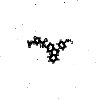 N[C@H]1CC[C@H](C(=O)C2CCC(NC(=O)c3cc(C4CC4)on3)CC2c2ccccc2)CC1